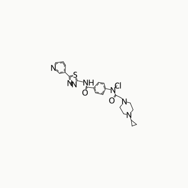 O=C(Nc1nnc(-c2cccnc2)s1)c1ccc(N(Cl)C(=O)CN2CCN(C3CC3)CC2)cc1